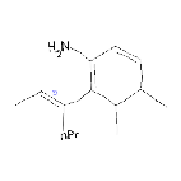 C/C=C(\CCC)C1=C(N)C=CC(C)C1C